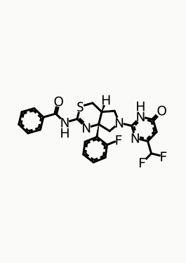 O=C(NC1=N[C@@]2(c3ccccc3F)CN(c3nc(C(F)F)cc(=O)[nH]3)C[C@H]2CS1)c1ccccc1